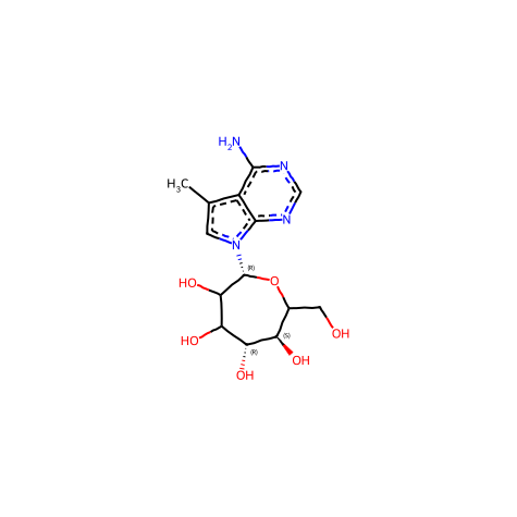 Cc1cn([C@@H]2OC(CO)[C@@H](O)[C@H](O)C(O)C2O)c2ncnc(N)c12